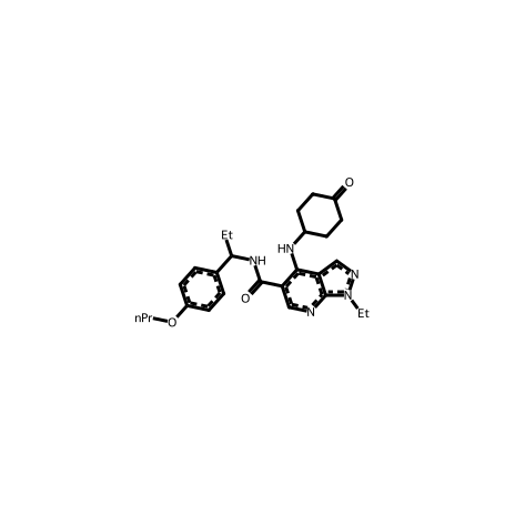 CCCOc1ccc(C(CC)NC(=O)c2cnc3c(cnn3CC)c2NC2CCC(=O)CC2)cc1